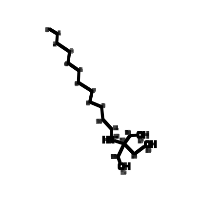 CCCCCCCCCCCCNC(CO)(CO)CO